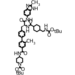 Cc1nc2ccc(NC(=O)[C@H](Cc3ccc(-c4ccc(C(=O)NC5CCN(C(=O)OC(C)(C)C)CC5)cc4C)cc3)NC(=O)C3CCC(CNC(=O)OC(C)(C)C)CC3)cc2[nH]1